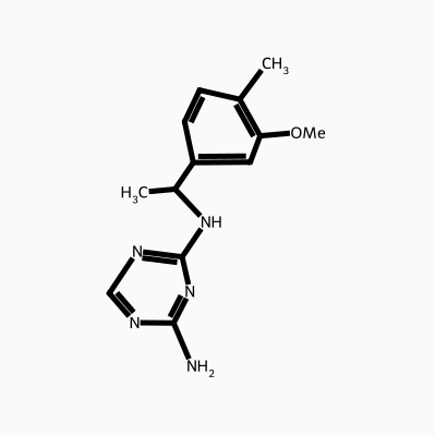 COc1cc(C(C)Nc2ncnc(N)n2)ccc1C